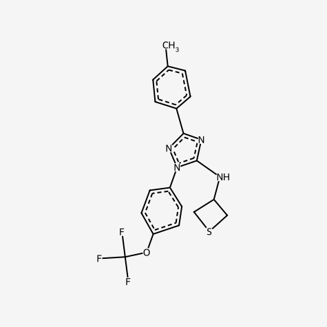 Cc1ccc(-c2nc(NC3CSC3)n(-c3ccc(OC(F)(F)F)cc3)n2)cc1